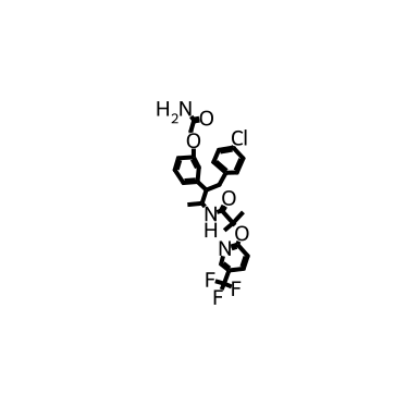 CC(NC(=O)C(C)(C)Oc1ccc(C(F)(F)F)cn1)C(Cc1ccc(Cl)cc1)c1cccc(OCC(N)=O)c1